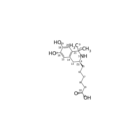 CC1(C)N[C@@H](CCCCCC(=O)O)Cc2cc(O)c(O)cc21